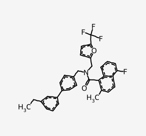 CCc1cccc(-c2ccc(CN(Cc3ccc(C(F)(F)F)o3)C(=O)c3c(C)ccc4c(F)cccc34)cc2)c1